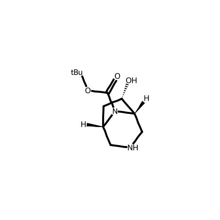 CC(C)(C)OC(=O)N1[C@@H]2CNC[C@H]1[C@@H](O)C2